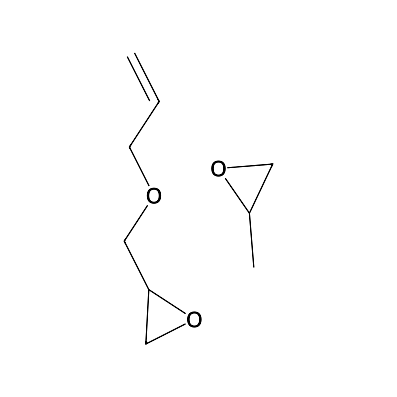 C=CCOCC1CO1.CC1CO1